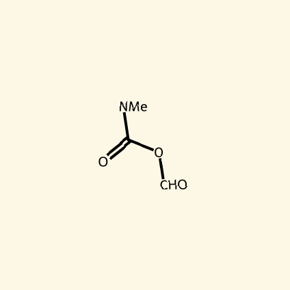 CNC(=O)OC=O